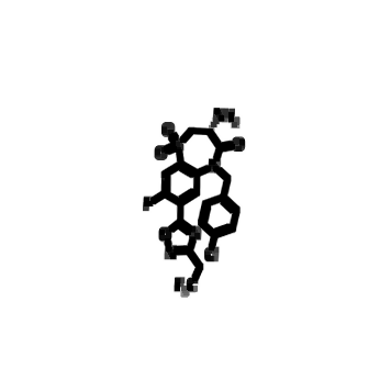 N[C@H]1CS(=O)(=O)c2cc(F)c(-c3nc(CC(F)(F)F)no3)cc2N(Cc2ccc(Cl)cc2)C1=O